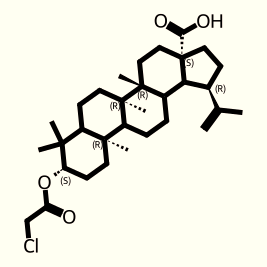 C=C(C)[C@@H]1CC[C@]2(C(=O)O)CC[C@]3(C)C(CCC4[C@@]5(C)CC[C@H](OC(=O)CCl)C(C)(C)C5CC[C@]43C)C12